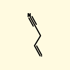 [CH]=CCC#N